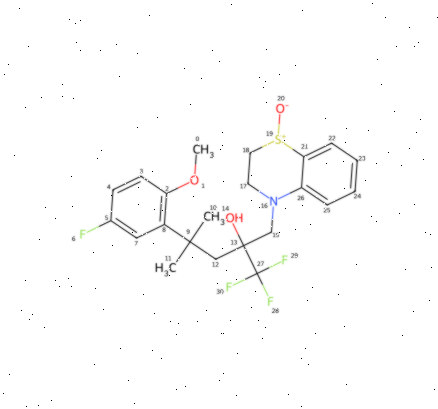 COc1ccc(F)cc1C(C)(C)CC(O)(CN1CC[S+]([O-])c2ccccc21)C(F)(F)F